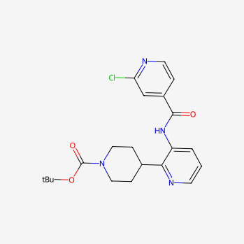 CC(C)(C)OC(=O)N1CCC(c2ncccc2NC(=O)c2ccnc(Cl)c2)CC1